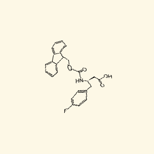 O=C(O)C[C@@H](Cc1ccc(F)cc1)NC(=O)OCC1c2ccccc2-c2ccccc21